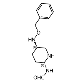 O=CN[C@@H]1CC[C@@H](NOCc2ccccc2)CN1